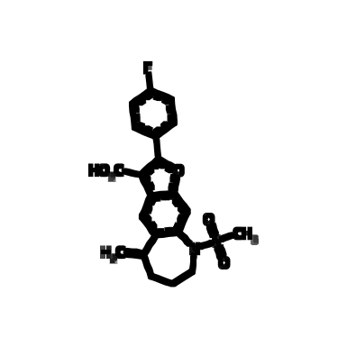 C=C1CCCN(S(C)(=O)=O)c2cc3oc(-c4ccc(F)cc4)c(C(=O)O)c3cc21